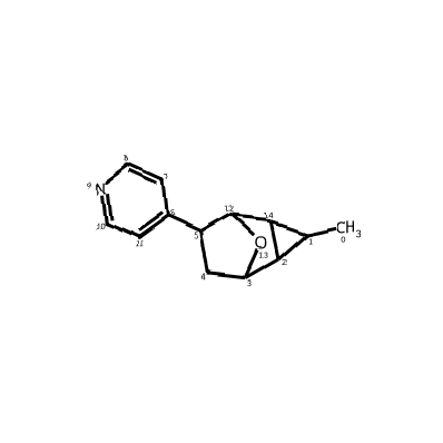 CC1C2C3CC(c4ccncc4)C(O3)C12